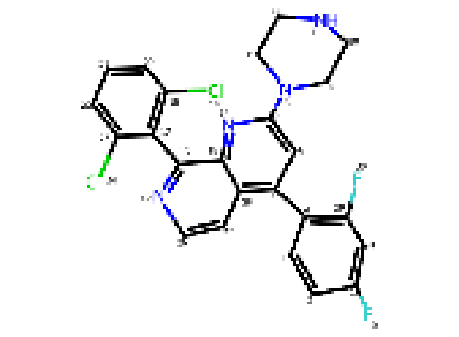 Fc1ccc(-c2cc(N3CCNCC3)nc3c(-c4c(Cl)cccc4Cl)nccc23)c(F)c1